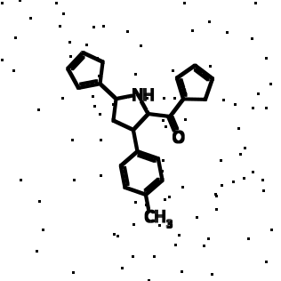 Cc1ccc(C2CC(C3=CC=CC3)NC2C(=O)C2=CC=CC2)cc1